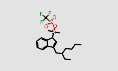 CCCCC(CC)CC1=CC([Si](C)(C)OS(=O)(=O)C(F)(F)F)c2ccccc21